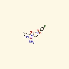 CC(C)C[C@H](NC(=O)CN)C(=O)NC1CCCN(S(=O)(=O)c2ccc(F)cc2)CC1=O